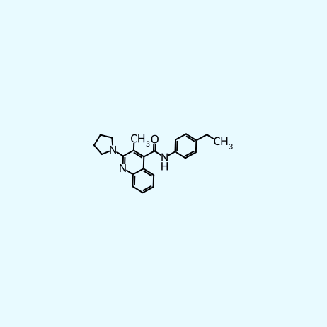 CCc1ccc(NC(=O)c2c(C)c(N3CCCC3)nc3ccccc23)cc1